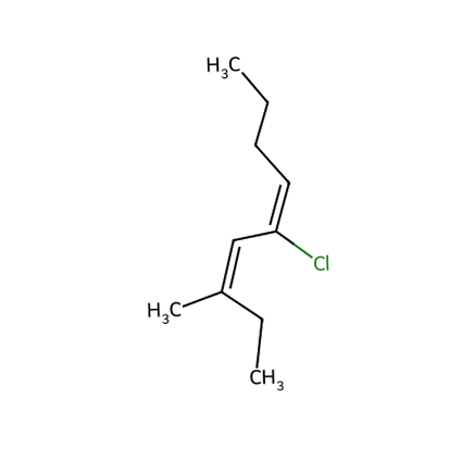 CCC/C=C(Cl)\C=C(\C)CC